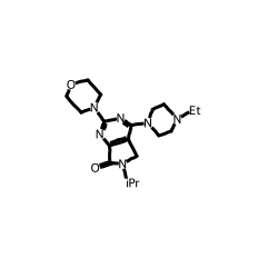 CCN1CCN(c2nc(N3CCOCC3)nc3c2CN(C(C)C)C3=O)CC1